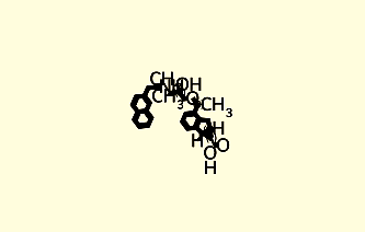 C[C@@H](OC[C@H](O)CNC(C)(C)Cc1ccc2ccccc2c1)c1cccc2c1C[C@@H]1[C@@H](C(=O)O)[C@H]21